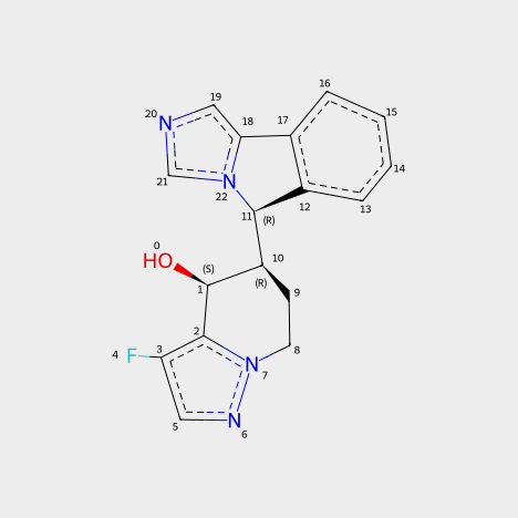 O[C@@H]1c2c(F)cnn2CC[C@@H]1[C@@H]1c2ccccc2-c2cncn21